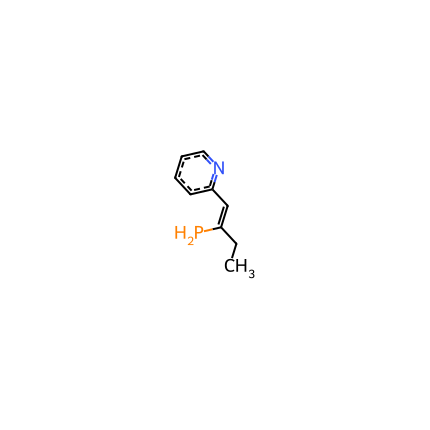 CCC(P)=Cc1ccccn1